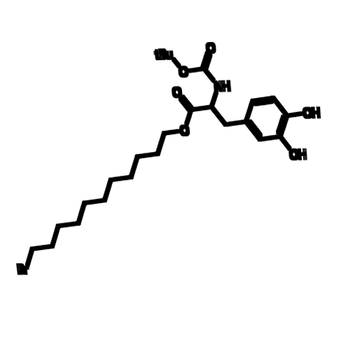 CC(C)(C)OC(=O)NC(Cc1ccc(O)c(O)c1)C(=O)OCCCCCCCCCCCBr